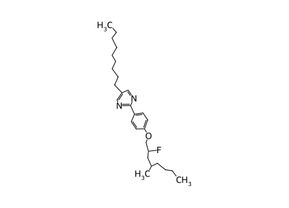 CCCCCCCCCc1cnc(-c2ccc(OCC(F)CC(C)CCCC)cc2)nc1